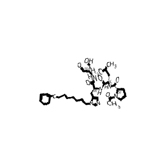 CC(=O)N1CCC[C@H]1C(=O)N[C@@H](CC(C)C)C(=O)N[C@@H](Cc1cncn1CCCCCCCCc1ccccc1)C(=O)N[C@H](C=O)CO